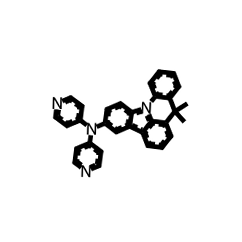 CC1(C)c2ccccc2-n2c3ccc(N(c4ccncc4)c4ccncc4)cc3c3cccc1c32